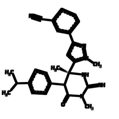 CC(C)c1ccc(C2C(=O)N(C)C(=N)N[C@]2(C)c2cc(-c3cccc(C#N)c3)nn2C)cc1